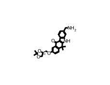 CC1(C)OC[C@H](COc2ccc3c(c2)C(=O)c2c([nH]c4cc(CN)ccc24)C3(C)C)O1